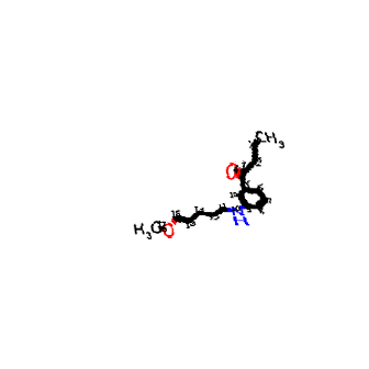 CCCC(=O)c1cccc(NCCCCCOC)c1